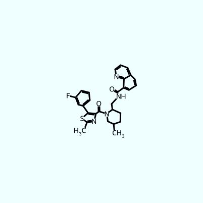 Cc1nc(C(=O)N2CC(C)CCC2CNC(=O)c2cccc3cccnc23)c(-c2cccc(F)c2)s1